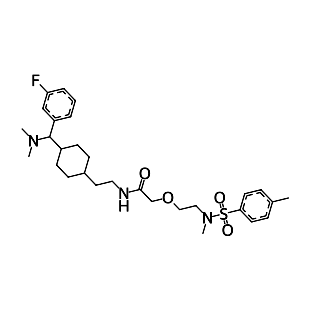 Cc1ccc(S(=O)(=O)N(C)CCOCC(=O)NCCC2CCC(C(c3cccc(F)c3)N(C)C)CC2)cc1